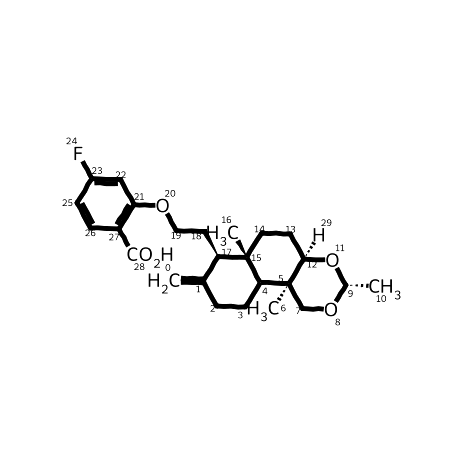 C=C1CCC2[C@]3(C)CO[C@@H](C)O[C@@H]3CC[C@@]2(C)[C@@H]1CCOc1cc(F)ccc1C(=O)O